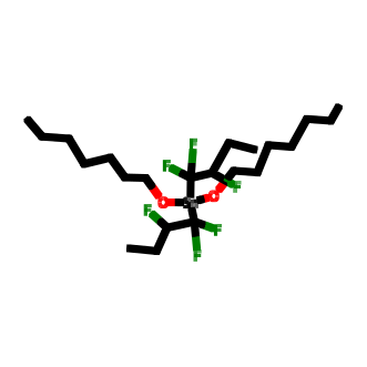 CCCCCCC[O][Sn]([O]CCCCCCC)([C](F)(F)C(F)CC)[C](F)(F)C(F)CC